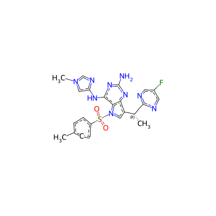 Cc1ccc(S(=O)(=O)n2cc([C@@H](C)c3ncc(F)cn3)c3nc(N)nc(Nc4cn(C)cn4)c32)cc1